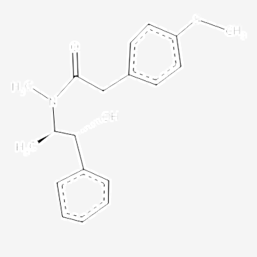 CSc1ccc(CC(=O)N(C)[C@H](C)[C@H](O)c2ccccc2)cc1